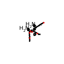 CCCCCCCCCCCCC(c1ccc(N)cc1)c1ccc(C(CCC(CCCCCC)C2CCCCC2)c2ccc(C(CCCCCCCCCCCC)c3ccc(N)cc3)cc2)cc1